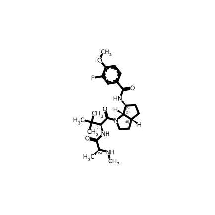 CN[C@@H](C)C(=O)N[C@H](C(=O)N1CC[C@H]2CC[C@H](NC(=O)c3ccc(OC)c(F)c3)[C@H]21)C(C)(C)C